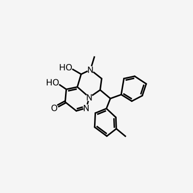 Cc1cccc(C(c2ccccc2)C2CN(C)C(O)c3c(O)c(=O)cnn32)c1